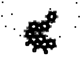 O=c1c2ccccc2c2cc(-n3c4ccccc4c4cc(-c5ccccc5)ccc43)c3c4ccccc4c(=O)n4c(=O)n1c2c34